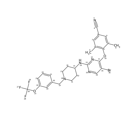 Cc1cc(C#N)cc(C)c1Oc1nc(NC2CCN(Cc3cccc(OC(F)(F)F)c3)CC2)ncc1Br